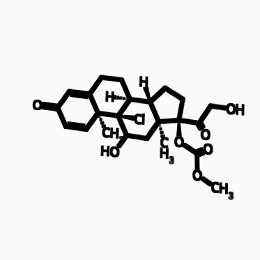 COC(=O)O[C@]1(C(=O)CO)CC[C@H]2[C@@H]3CCC4=CC(=O)C=C[C@]4(C)[C@@]3(Cl)C(O)C[C@@]21C